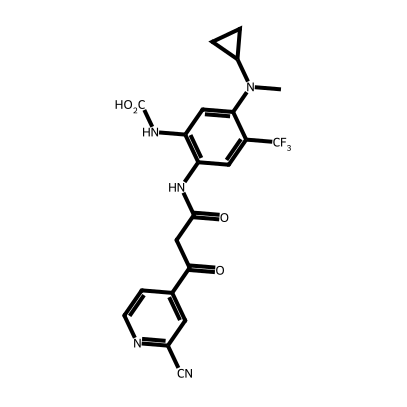 CN(c1cc(NC(=O)O)c(NC(=O)CC(=O)c2ccnc(C#N)c2)cc1C(F)(F)F)C1CC1